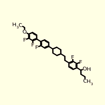 CCCC(O)c1ccc(CCC2CCC(c3ccc(-c4ccc(OCC)c(F)c4F)c(F)c3)CC2)c(F)c1F